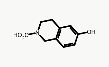 O=C(O)N1CCc2cc(O)ccc2C1